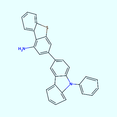 Nc1cc(-c2ccc3c(c2)c2ccccc2n3-c2ccccc2)cc2sc3ccccc3c12